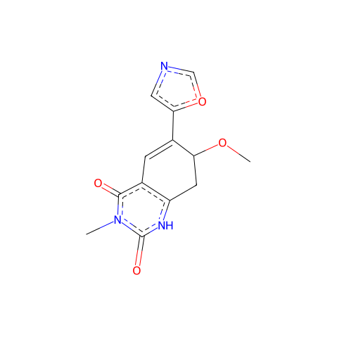 COC1Cc2[nH]c(=O)n(C)c(=O)c2C=C1c1cnco1